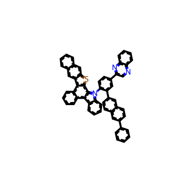 c1ccc(-c2ccc3cc(-c4cc(-c5cnc6ccccc6n5)ccc4-n4c5ccccc5c5c6ccccc6c6c7cc8ccccc8cc7sc6c54)ccc3c2)cc1